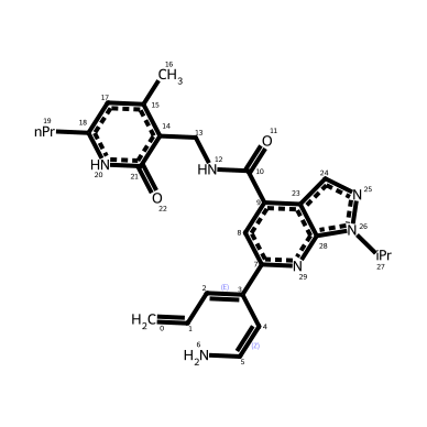 C=C/C=C(\C=C/N)c1cc(C(=O)NCc2c(C)cc(CCC)[nH]c2=O)c2cnn(C(C)C)c2n1